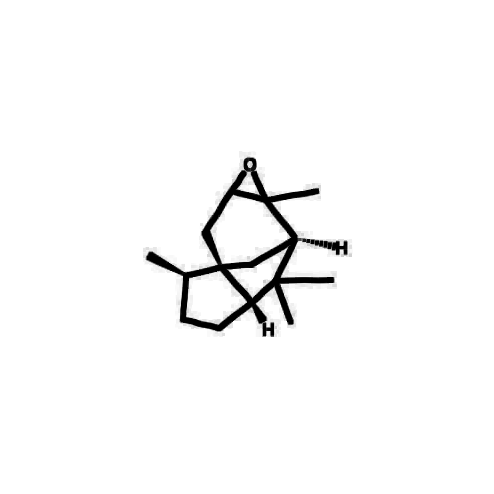 C[C@@H]1CC[C@H]2C(C)(C)[C@H]3C[C@@]12CC1OC13C